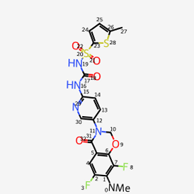 CNc1c(F)cc2c(c1F)OCN(c1ccc(NC(=O)NS(=O)(=O)c3ccc(C)s3)nc1)C2=O